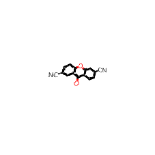 N#Cc1ccc2c(=O)c3cc(C#N)ccc3oc2c1